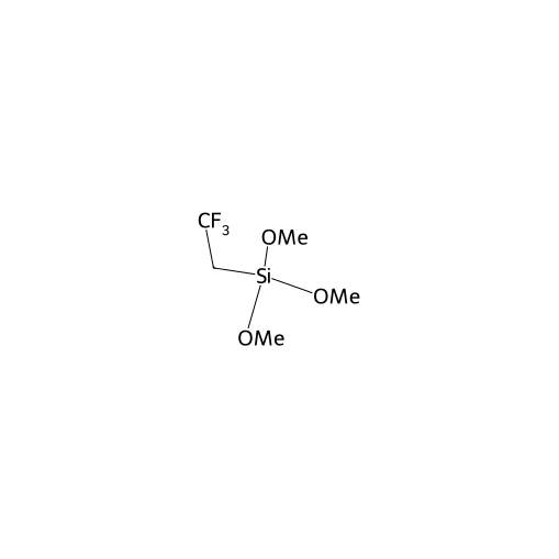 CO[Si](CC(F)(F)F)(OC)OC